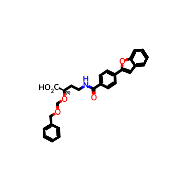 O=C(NCC[C@@H](OCOCc1ccccc1)C(=O)O)c1ccc(-c2cc3ccccc3o2)cc1